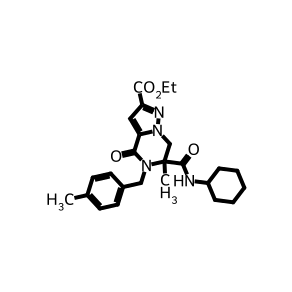 CCOC(=O)c1cc2n(n1)CC(C)(C(=O)NC1CCCCC1)N(Cc1ccc(C)cc1)C2=O